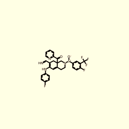 N=CC1=C(Nc2ccc(F)cc2)C=C2CCN([S+]([O-])c3ccc(F)c(C(F)(F)F)c3)CC2(C(=O)c2ccccn2)C1